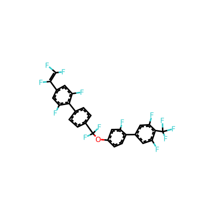 FC(F)=C(F)c1cc(F)c(-c2ccc(C(F)(F)Oc3ccc(-c4cc(F)c(C(F)(F)F)c(F)c4)c(F)c3)cc2)c(F)c1